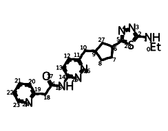 CCNc1nnc(C2CCC(Cc3ccc(NC(=O)Cc4ccccn4)nn3)C2)s1